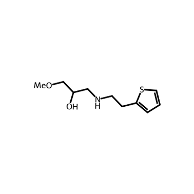 COCC(O)CNCCc1cccs1